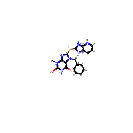 Cn1c(=O)[nH]c(=O)c2c1nc(Sc1nc3cccnc3[nH]1)n2Cc1ccccc1